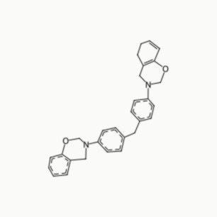 C1=CC2=C(CC1)CN(c1ccc(Cc3ccc(N4COc5ccccc5C4)cc3)cc1)CO2